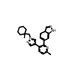 Cc1ccc(-c2cnn(CC3(C)CCCCC3)c2)c(C2=CCC3C=NNC3=C2)n1